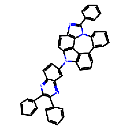 c1ccc(-c2nc3ccc(-n4c5cccc6c7ccccc7n7c(-c8ccccc8)nc8ccc4c(c65)c87)cc3nc2-c2ccccc2)cc1